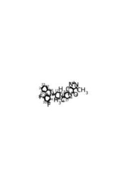 Cc1ncnc(C)c1C(=O)N1CCC(C)(N2CCC(N(Cc3ccccc3)c3cc(F)cc(F)c3)CC2)CC1